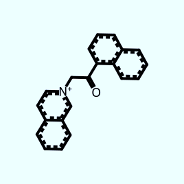 O=C(C[n+]1ccc2ccccc2c1)c1cccc2ccccc12